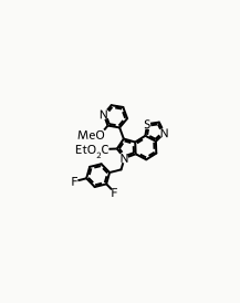 CCOC(=O)c1c(-c2cccnc2OC)c2c3scnc3ccc2n1Cc1ccc(F)cc1F